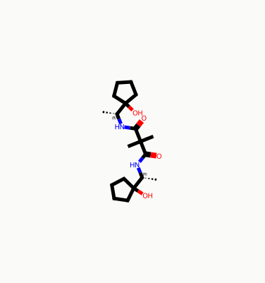 C[C@@H](NC(=O)C(C)(C)C(=O)N[C@H](C)C1(O)CCCC1)C1(O)CCCC1